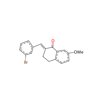 COc1ccc2c(c1)C(=O)C(=Cc1cccc(Br)c1)CC2